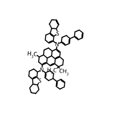 CC1CC(N(C2=CCC(C3=CCCC=C3)CC2)C2CCCC3=C2SC2CCCCC32)=C2C=C3C4=C(C=C(N(C5=CC=C(C6=CC=CCC6)CC5)C5=CCCC6=C5SC5C=CCCC65)C5CCC1C2C45)CCC3(C)C